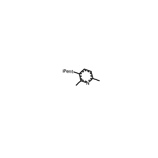 CCCC(C)c1ccc(C)nc1C